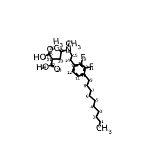 CCCCCCCCCCc1ccc(CCN(C)C(C)CC(C(=O)O)C(=O)O)c(F)c1F